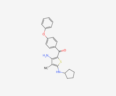 N#Cc1c(NC2CCCC2)sc(C(=O)c2ccc(Oc3ccccc3)cc2)c1N